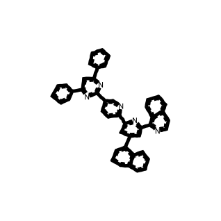 c1ccc(-c2cc(-c3ccccc3)nc(-c3ccc(-c4cc(-c5cccc6ccccc56)cc(-c5nccc6ccccc56)n4)nc3)n2)cc1